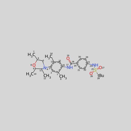 Cc1cc(N2CC(C)OC(C)C2C)c(C)cc1NC(=O)c1ccc(NS(=O)(=O)C(C)(C)C)cc1